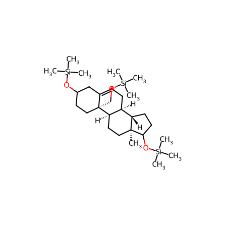 C[C@]12CC[C@@H]3[C@@H](CC=C4CC(O[Si](C)(C)C)CC[C@@]43CO[Si](C)(C)C)[C@@H]1CCC2O[Si](C)(C)C